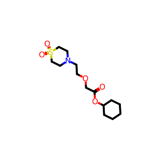 O=C(COCCN1CCS(=O)(=O)CC1)OC1CCCCC1